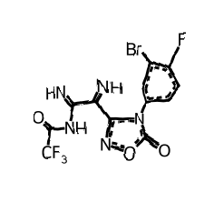 N=C(NC(=O)C(F)(F)F)C(=N)c1noc(=O)n1-c1ccc(F)c(Br)c1